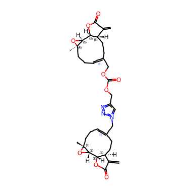 C=C1C(=O)O[C@H]2[C@H]1CC/C(COC(=O)OCc1cn(C/C3=C/CC[C@@]4(C)O[C@H]4[C@H]4OC(=O)C(=C)[C@@H]4CC3)nn1)=C\CC[C@@]1(C)O[C@@H]21